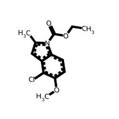 CCOC(=O)n1c(C)cc2c(Cl)c(OC)ccc21